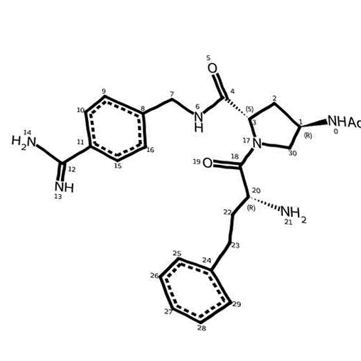 CC(=O)N[C@@H]1C[C@@H](C(=O)NCc2ccc(C(=N)N)cc2)N(C(=O)[C@H](N)CCc2ccccc2)C1